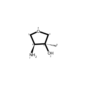 C[C@@]1(O)COC[C@@H]1N